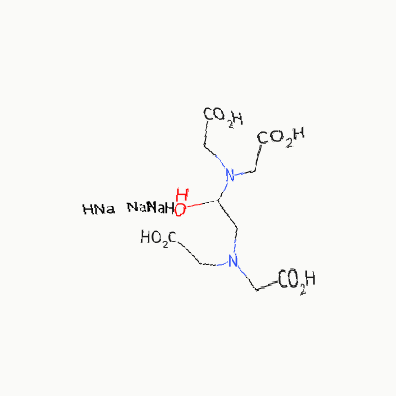 O=C(O)CN(CC(=O)O)CC(O)N(CC(=O)O)CC(=O)O.[NaH].[NaH].[NaH]